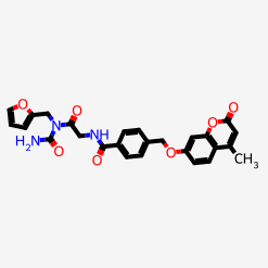 Cc1cc(=O)oc2cc(OCc3ccc(C(=O)NCC(=O)N(Cc4ccco4)C(N)=O)cc3)ccc12